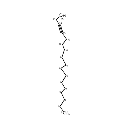 CCCCCCCCCCCCCC#CCO